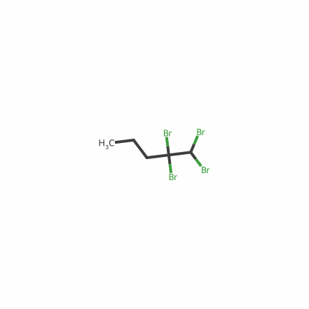 CCCC(Br)(Br)C(Br)Br